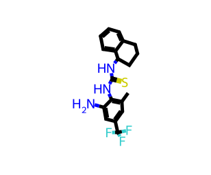 Cc1cc(C(F)(F)F)cc(N)c1NC(=S)NC1CCCc2ccccc21